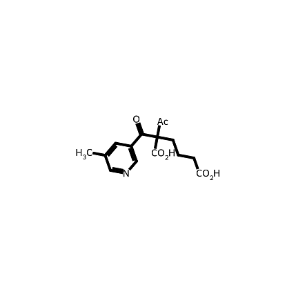 CC(=O)C(CCCC(=O)O)(C(=O)O)C(=O)c1cncc(C)c1